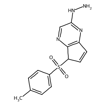 Cc1ccc(S(=O)(=O)C2C=Cc3nc(NN)cnc32)cc1